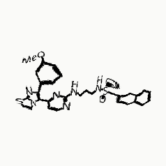 COc1cccc(-c2nc3sccn3c2-c2ccnc(NCCCNS(=O)(=O)c3ccc4ccccc4c3)n2)c1